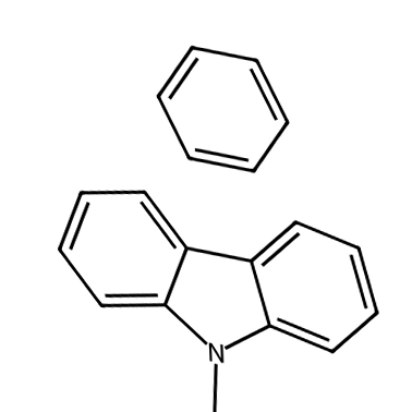 Cn1c2ccccc2c2ccccc21.c1ccccc1